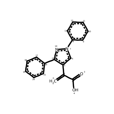 C=C(C(=O)O)c1cn(-c2ccccc2)nc1-c1ccccc1